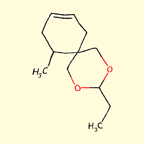 CCC1OCC2(CC=CCC2C)CO1